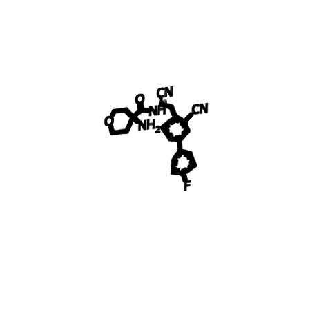 N#Cc1cc(-c2ccc(F)cc2)ccc1C[C@@H](C#N)NC(=O)C1(N)CCOCC1